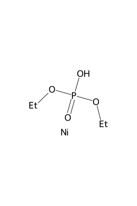 CCOP(=O)(O)OCC.[Ni]